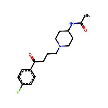 CCCCC(=O)NC1CCN(CCCC(=O)c2ccc(F)cc2)CC1